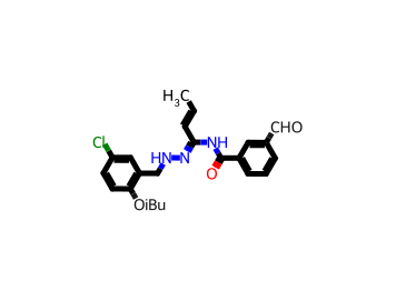 C/C=C/C(=N\NCc1cc(Cl)ccc1OCC(C)C)NC(=O)c1cccc(C=O)c1